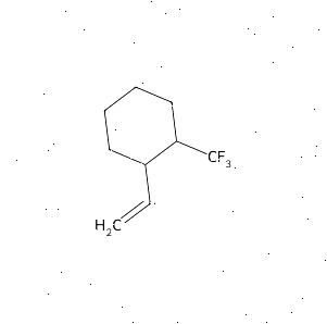 C=[C]C1CCCCC1C(F)(F)F